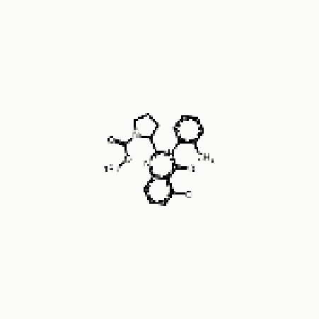 Cc1ccccc1-n1c(C2CCCN2C(=O)OC(C)(C)C)nc2cccc(Cl)c2c1=O